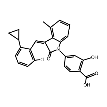 Cc1cccc2c1C(=Cc1c(Cl)cccc1C1CC1)C(=O)N2c1ccc(C(=O)O)c(O)c1